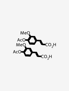 COc1cc(/C=C/C(=O)O)ccc1OC(C)=O.COc1cc(/C=C/C(=O)O)ccc1OC(C)=O